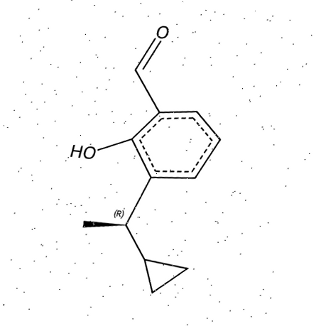 C[C@@H](c1cccc(C=O)c1O)C1CC1